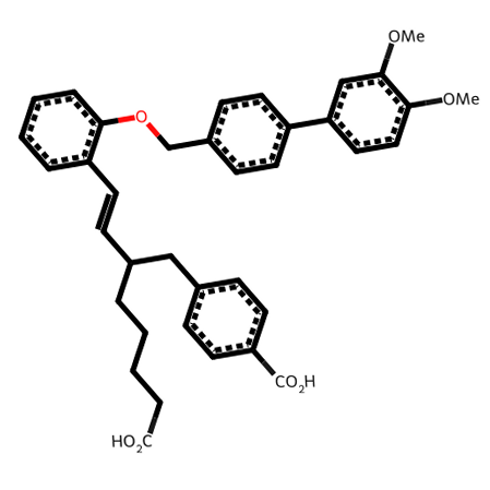 COc1ccc(-c2ccc(COc3ccccc3/C=C/C(CCCCC(=O)O)Cc3ccc(C(=O)O)cc3)cc2)cc1OC